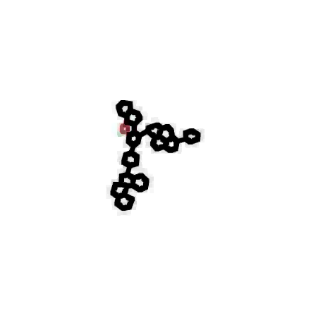 c1ccc(-c2ccc3ccc4c(-c5cc(-c6ccc(-c7cc8ccc9ccccc9c8c8ccccc78)cc6)cc6oc7c8ccccc8ccc7c56)ccc5ccc2c3c54)cc1